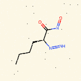 CCCC[C@H](N=N)C(=O)N=O